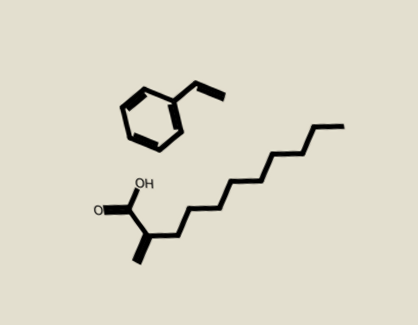 C=C(CCCCCCCCC)C(=O)O.C=Cc1ccccc1